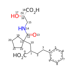 O=C(O)C(CCc1ccccc1)CC1(C(=O)NC[C@H](O)C(=O)O)CCCC1